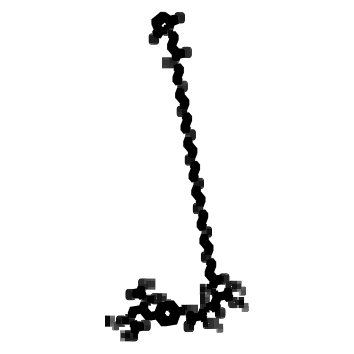 CC(C)[C@H](NC(=O)CCOCCOCCOCCOCCOCCOCCOCCOCCNC(=O)CCN1C(=O)C=CC1=O)C(=O)N[C@@H](C)C(=O)Nc1ccc(CC(CN(C)C(=O)O)N(C)C(=O)O)cc1